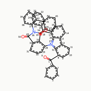 O=C(c1ccccc1)c1cccc2c3cccc(C(=O)c4ccccc4)c3n(-c3cccc4c3C(=O)N(c3ccccc3-c3ccccc3)C4=O)c12